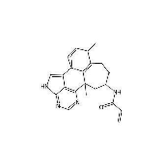 C=CC(=O)NC1CCC2=C3C(C)(C=CC2C)c2c[nH]c4ncnc(c24)C3(C)C1